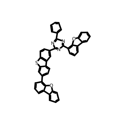 c1ccc(-c2nc(-c3ccc4sc5cc(-c6cccc7c6oc6ccccc67)ccc5c4c3)nc(-c3cccc4c3oc3ccccc34)n2)cc1